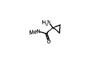 CNC(=O)C1(N)CC1